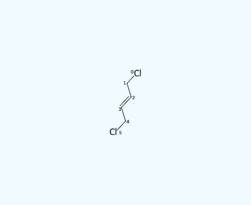 ClCC=CCCl